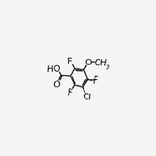 COc1c(F)c(Cl)c(F)c(C(=O)O)c1F